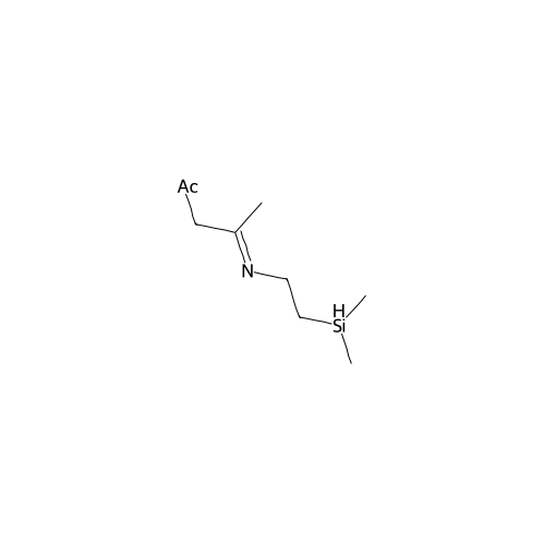 CC(=O)C/C(C)=N/CC[SiH](C)C